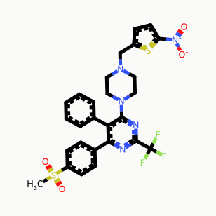 CS(=O)(=O)c1ccc(-c2nc(C(F)(F)F)nc(N3CCN(Cc4ccc([N+](=O)[O-])s4)CC3)c2-c2ccccc2)cc1